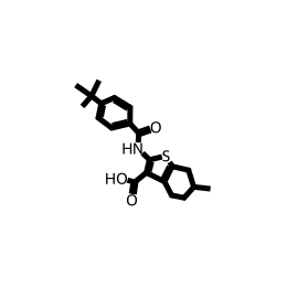 CC1CCc2c(sc(NC(=O)c3ccc(C(C)(C)C)cc3)c2C(=O)O)C1